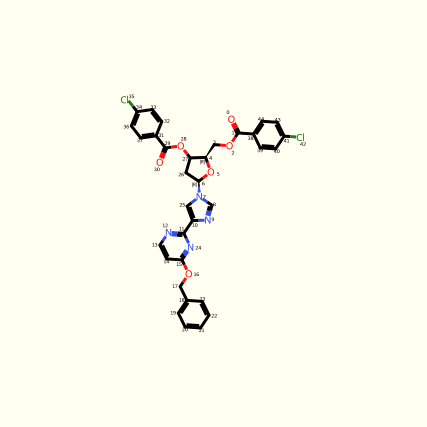 O=C(OC[C@H]1O[C@@H](n2cnc(-c3nccc(OCc4ccccc4)n3)c2)CC1OC(=O)c1ccc(Cl)cc1)c1ccc(Cl)cc1